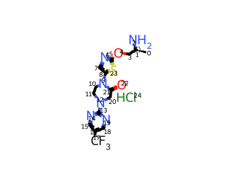 C[C@H](N)COc1ncc(N2CCN(c3ncc(C(F)(F)F)cn3)CC2=O)s1.Cl